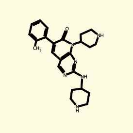 Cc1ccccc1-c1cc2cnc(NC3CCNCC3)nc2n(C2CCNCC2)c1=O